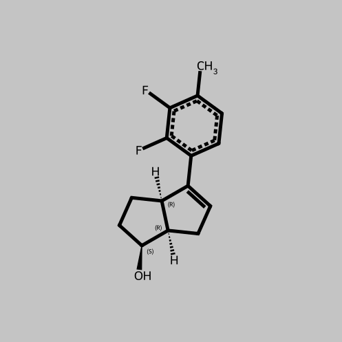 Cc1ccc(C2=CC[C@H]3[C@@H](O)CC[C@@H]23)c(F)c1F